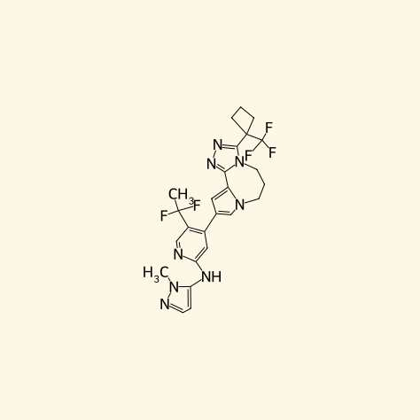 Cn1nccc1Nc1cc(-c2cc3n(c2)CCCn2c-3nnc2C2(C(F)(F)F)CCC2)c(C(C)(F)F)cn1